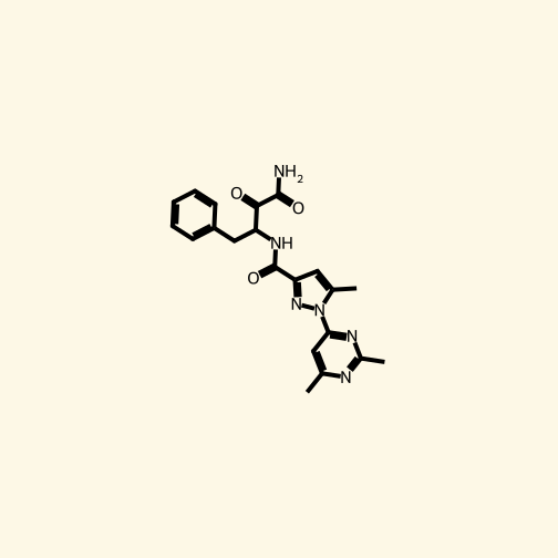 Cc1cc(-n2nc(C(=O)NC(Cc3ccccc3)C(=O)C(N)=O)cc2C)nc(C)n1